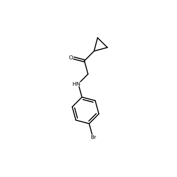 O=C(CNc1ccc(Br)cc1)C1CC1